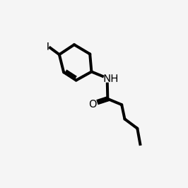 CCCCC(=O)NC1C=CC(I)CC1